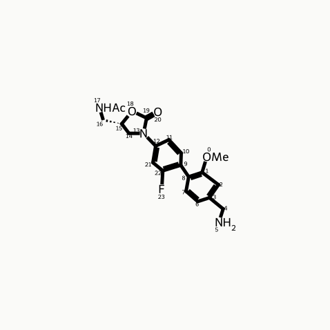 COc1cc(CN)ccc1-c1ccc(N2C[C@H](CNC(C)=O)OC2=O)cc1F